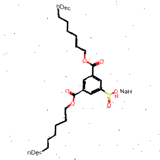 CCCCCCCCCCCCCCCCOC(=O)c1cc(C(=O)OCCCCCCCCCCCCCCCC)cc(S(=O)O)c1.[NaH]